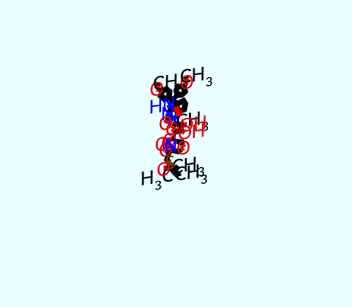 CCC(C)(C)C(=O)SCCOP(=O)(OC[C@H]1O[C@@H](n2ccc(NC(c3ccccc3)(c3ccc(OC)cc3)c3ccc(OC)cc3)nc2=O)[C@@](C)(O)C1O)N1CCOCC1